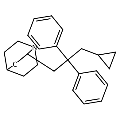 c1ccc(C(CC2CC2)(CC2CC3CCN2CC3)c2ccccc2)cc1